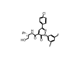 CC(C)[C@@H](CO)NC(=O)c1cc(-c2ccc(Cl)cc2)nn(-c2cc(F)cc(F)c2)c1=O